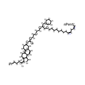 CCCCC/C=C\C/C=C\CCCCCCCCOCC(CN1CCCCC1)OCCOCCOC(=O)O[C@H]1CC[C@@]2(C)C(C=CC3C2CC[C@@]2(C)C3CC[C@@H]2[C@H](C)CCCC(C)C)C1